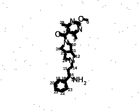 COc1nc(C)c(C(=O)N2CC3CN(CC[C@H](N)c4ccccc4)CC3C2)c(C)n1